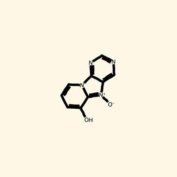 [O-][n+]1c2cncnc2n2cccc(O)c21